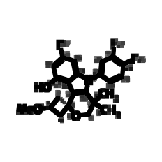 CO[C@H]1C[C@@]2(C1)OCC(C)(C)c1c2c2c(O)cc(F)cc2n1-c1ccc(F)c(F)c1